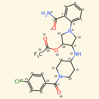 NC(=O)c1ccccc1N1CC(NC2CCN(C(=O)c3ccc(Cl)cc3)CC2)C(OC(=O)C(F)(F)F)C1